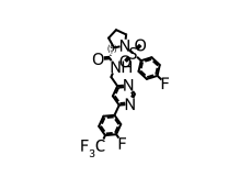 O=C(NCc1cc(-c2ccc(C(F)(F)F)c(F)c2)ncn1)[C@@H]1CCCN1S(=O)(=O)c1ccc(F)cc1